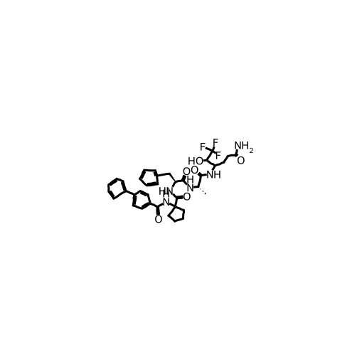 C[C@H](NC(=O)[C@H](Cc1ccccc1)NC(=O)C1(NC(=O)c2ccc(-c3ccccc3)cc2)CCCC1)C(=O)NC(CCC(N)=O)C(O)C(F)(F)F